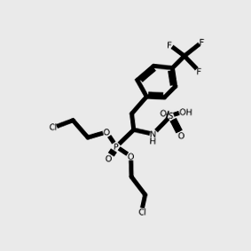 O=P(OCCCl)(OCCCl)C(Cc1ccc(C(F)(F)F)cc1)NS(=O)(=O)O